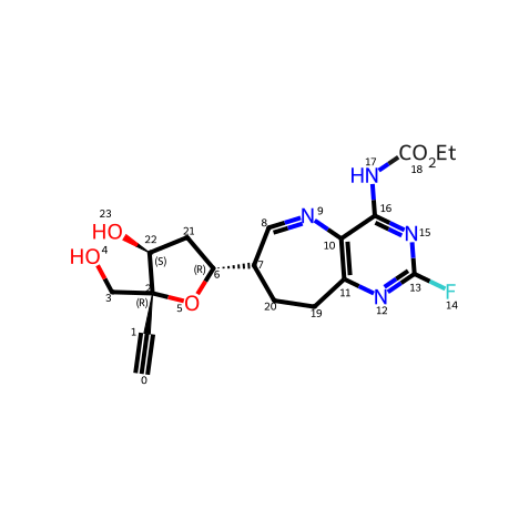 C#C[C@]1(CO)O[C@@H](C2C=Nc3c(nc(F)nc3NC(=O)OCC)CC2)C[C@@H]1O